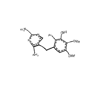 COc1cc(Cc2cnc(N)nc2N)c(C(C)=O)c(O)c1OC